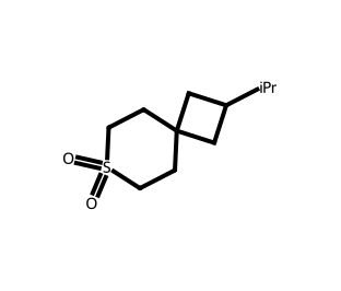 CC(C)C1CC2(CCS(=O)(=O)CC2)C1